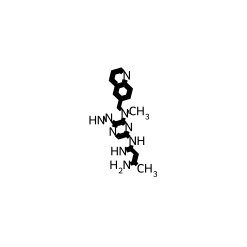 C/C(N)=C/C(=N)Nc1cnc(N=N)c(N(C)Cc2ccc3ncccc3c2)n1